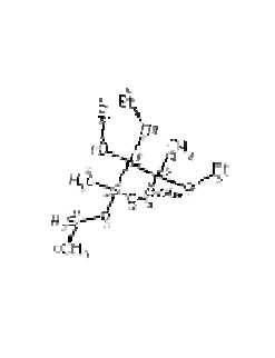 CCOC(C)(OC)C(OCC)(OCC)[Si](C)(C)O[SiH2]C